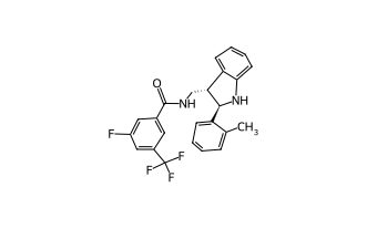 Cc1ccccc1[C@@H]1Nc2ccccc2[C@H]1CNC(=O)c1cc(F)cc(C(F)(F)F)c1